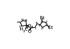 CCC1CC(CC)C(CCC(=O)OC2(C)CCCC2)C1